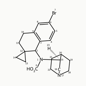 O=C(O)N(C1c2ccc(Br)cc2CCC12CC2)[C@@H]1CN2CCC1CC2